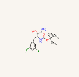 CC(C)(C)OC(=O)NC(Cc1cc(F)cc(F)c1)[C@H](O)CN